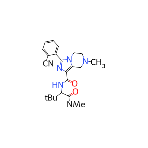 CNC(=O)C(NC(=O)c1nc(-c2ccccc2C#N)n2c1CN(C)CC2)C(C)(C)C